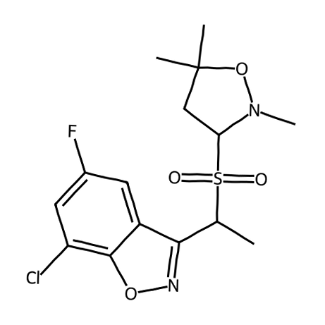 CC(c1noc2c(Cl)cc(F)cc12)S(=O)(=O)C1CC(C)(C)ON1C